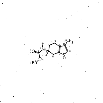 CN(C(=O)OC(C)(C)C)C1(C)CCc2c(C(F)(F)F)csc2C1